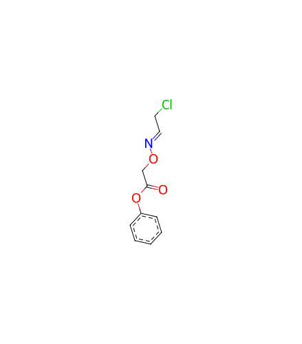 O=C(CON=CCCl)Oc1ccccc1